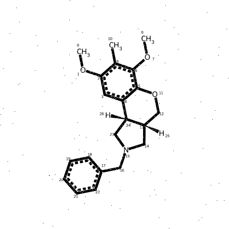 COc1cc2c(c(OC)c1C)OC[C@@H]1CN(Cc3ccccc3)C[C@H]21